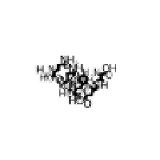 CC(C)C(N)C(=O)O.NC(=O)CC(N)C(=O)O.NC(=O)CCC(N)C(=O)O.NC(Cc1c[nH]cn1)C(=O)O.NC(Cc1ccccc1)C(=O)O